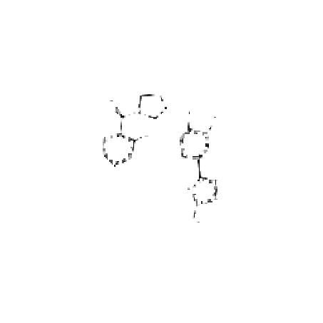 O=C(c1ccccc1F)N1CC[C@H](Oc2ccc(-c3noc(C(F)(F)F)n3)cc2F)C1